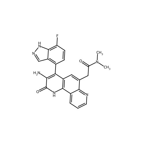 CN(C)C(=O)Cc1cc2c(-c3ccc(F)c4[nH]ncc34)c(N)c(=O)[nH]c2c2cccnc12